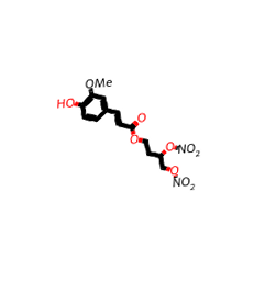 COc1cc(/C=C/C(=O)OCCC(CO[N+](=O)[O-])O[N+](=O)[O-])ccc1O